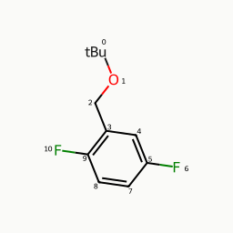 CC(C)(C)OCc1cc(F)ccc1F